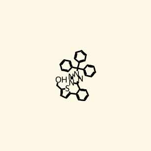 OCc1ccc(-c2ccccc2-c2nnn(C(c3ccccc3)(c3ccccc3)c3ccccc3)n2)s1